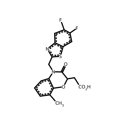 Cc1cccc2c1OC(CC(=O)O)C(=O)N2Cc1nc2cc(F)c(F)cc2s1